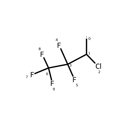 [CH2]C(Cl)C(F)(F)C(F)(F)F